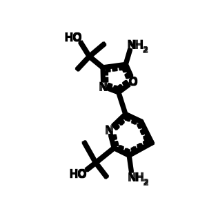 CC(C)(O)c1nc(-c2nc(C(C)(C)O)c(N)o2)ccc1N